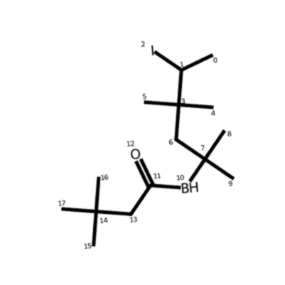 CC(I)C(C)(C)CC(C)(C)BC(=O)CC(C)(C)C